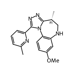 COc1ccc2c(c1)NC[C@@H](C)c1nnc(-c3cccc(C)n3)n1-2